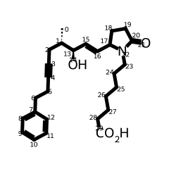 C[C@@H](CC#CCCc1ccccc1)[C@H](O)C=CC1CCC(=O)N1CCCCCCC(=O)O